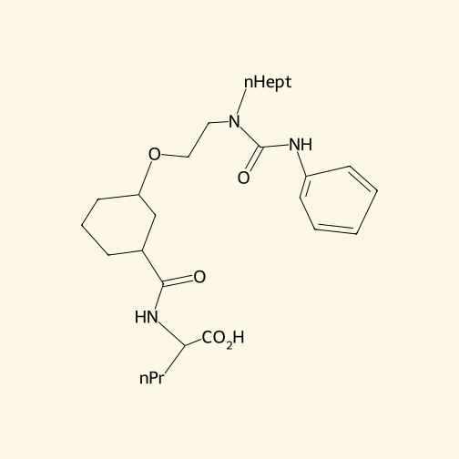 CCCCCCCN(CCOC1CCCC(C(=O)NC(CCC)C(=O)O)C1)C(=O)Nc1ccccc1